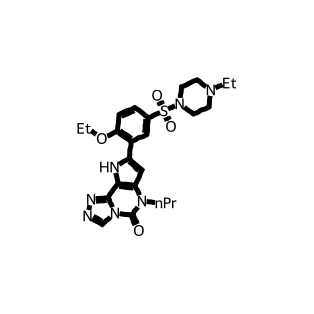 CCCn1c(=O)n2cnnc2c2[nH]c(-c3cc(S(=O)(=O)N4CCN(CC)CC4)ccc3OCC)cc21